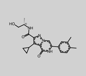 Cc1ccc(-c2cn3nc(C(=O)N[C@@H](C)CO)c(C4CC4)c3c(=O)[nH]2)cc1C